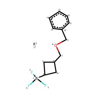 F[B-](F)(F)C1CC(COCc2ccccc2)C1.[K+]